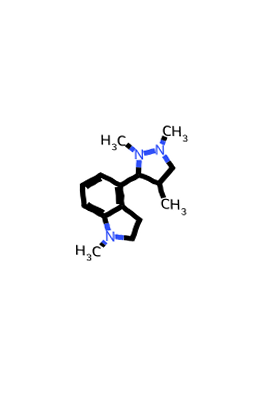 CC1CN(C)N(C)C1c1cccc2c1CCN2C